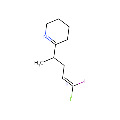 CC(C/C=C(/F)I)C1=NCCCC1